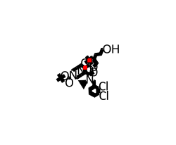 CC(C)(C)OC(=O)N1CC2CC(c3nc(CCCO)co3)=C(C(=O)N(Cc3cccc(Cl)c3Cl)C3CC3)C(C1)N2C(=O)OC(C)(C)C